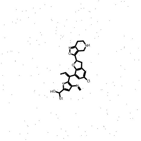 C=Nc1cc(C(O)CC)sc1/C(=C\C)c1cc(Cl)cc2c1OC(c1onc3c1CNCC3)C2